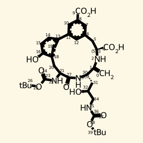 C=C1N[C@H](C(=O)O)Cc2cc(C(=O)O)cc(c2)-c2ccc(O)c(c2)CC(NC(=O)OC(C)(C)C)C(=O)N[C@H]1CC(O)CNC(=O)OC(C)(C)C